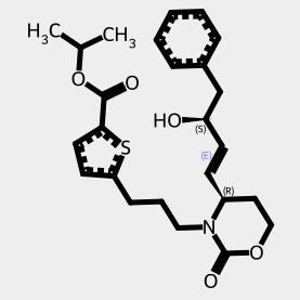 CC(C)OC(=O)c1ccc(CCCN2C(=O)OCC[C@@H]2/C=C/[C@@H](O)Cc2ccccc2)s1